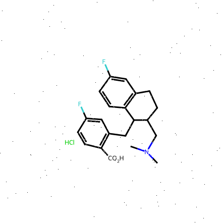 CN(C)CC1CCc2cc(F)ccc2C1Cc1cc(F)ccc1C(=O)O.Cl